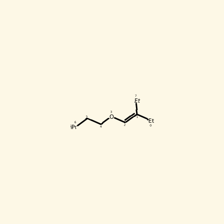 CCC(=COCCC(C)C)CC